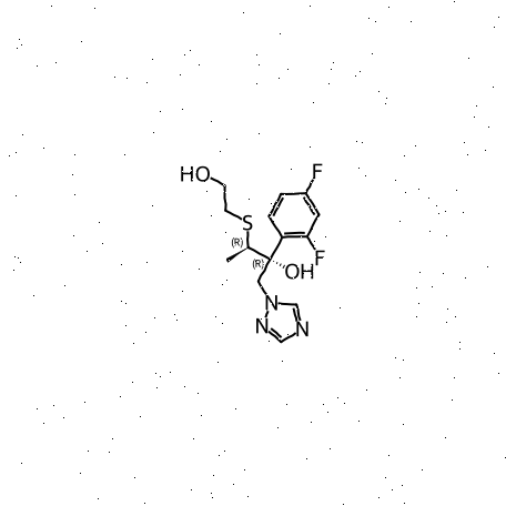 C[C@@H](SCCO)[C@](O)(Cn1cncn1)c1ccc(F)cc1F